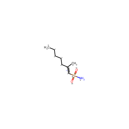 CCCCC/C(C)=C/S(N)(=O)=O